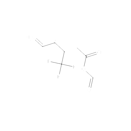 [CH]=C(C[C@@H](CC=C)C(F)(F)F)OC=O